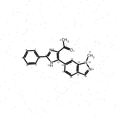 CC(=O)c1nc(-c2ccccc2)[nH]c1-c1ccc2cnn(C)c2c1